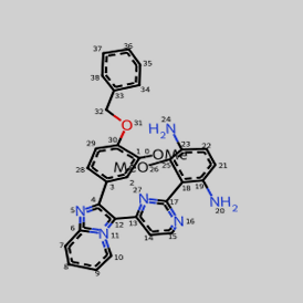 COc1cc(-c2nc3ccccn3c2-c2ccnc(-c3c(N)ccc(N)c3OC)n2)ccc1OCc1ccccc1